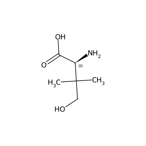 CC(C)(CO)[C@H](N)C(=O)O